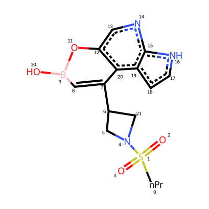 CCCS(=O)(=O)N1CC(C2=CB(O)Oc3cnc4[nH]ccc4c32)C1